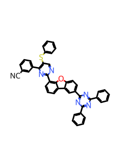 N#Cc1cccc(-c2nc(-c3cccc4c3oc3ccc(-c5nc(-c6ccccc6)nc(-c6ccccc6)n5)cc34)ncc2Sc2ccccc2)c1